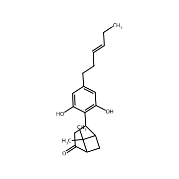 CCC=CCCc1cc(O)c(C2CC(=O)C3CC2C3(C)C)c(O)c1